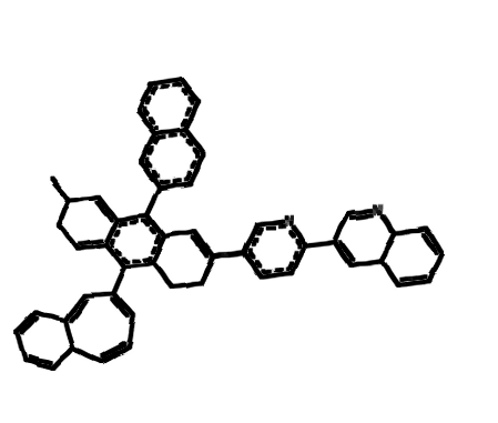 CC1C=c2c(-c3ccc4ccccc4c3)c3c(c(C4=CC=CC5C=CC=CC5=C4)c2=CC1)CCC(c1ccc(C2=CC4C=CC=CC4N=C2)nc1)=C3